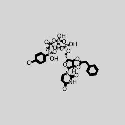 O=c1ccn([C@@H]2O[C@H](COP(=O)(O)OP(=O)(O)OP(=O)(O)OP(=O)(O)c3ccc(Cl)cc3)C3OC(Cc4ccccc4)O[C@@H]32)c(=O)[nH]1